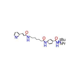 CCCN(NC(=O)c1ccc(NC(=O)CCCCCCNC(=O)C=Cc2cccnc2)cc1)C(C)(C)C